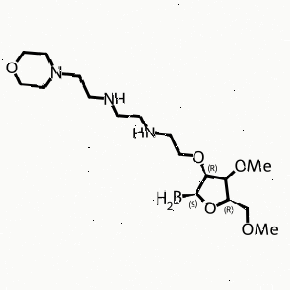 B[C@@H]1O[C@H](COC)C(OC)[C@@H]1OCCNCCNCCN1CCOCC1